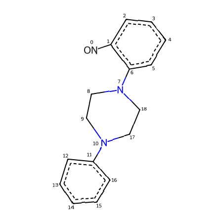 O=Nc1ccccc1N1CCN(c2ccccc2)CC1